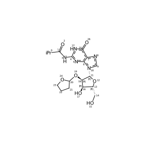 CC(C)C(=O)Nc1nc2c(ncn2[C@@H]2O[C@H](CO)[C@@H](O)[C@H]2OC2CCCO2)c(=O)[nH]1